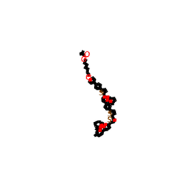 C=C(C)C(=O)OCCCCCCCOc1ccc(-c2ccc(-c3ccc(-c4ccc5c(c4)C4(c6cc(-c7ccc(-c8ccc(-c9ccc%10c(c9)C9(c%11cc(C)ccc%11-%10)C(C)(C)C%10CCC(CC%10)C9(C)C)s8)s7)ccc6-5)C5(C)CCC4(C)CC5)s3)cc2)cc1